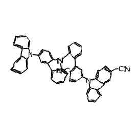 N#Cc1ccc2c(c1)c1ccccc1n2-c1ccc(C#N)c(-c2ccccc2-n2c3ccccc3c3cc(-n4c5ccccc5c5ccccc54)ccc32)c1